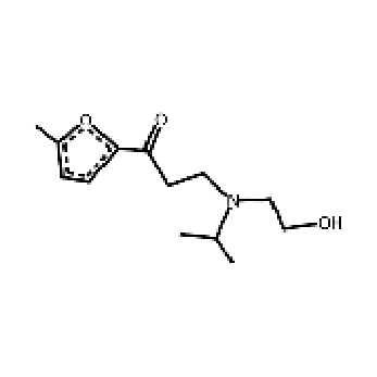 Cc1ccc(C(=O)CCN(CCO)C(C)C)o1